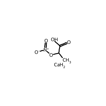 CC(O[N+](=O)[O-])C(=O)O.[CaH2]